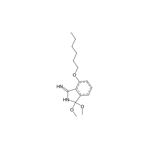 CCCCCCOc1cccc2c1C(=N)NC2(OC)OC